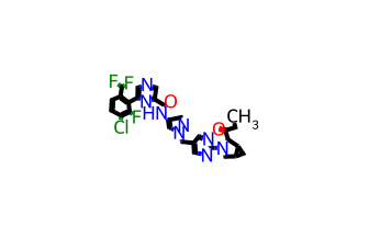 CCC(=O)C1C2CC2CN1c1ncc(Cn2cc(NC(=O)c3cncc(-c4c(C(F)F)ccc(Cl)c4F)n3)cn2)cn1